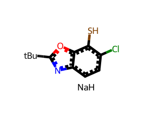 CC(C)(C)c1nc2ccc(Cl)c(S)c2o1.[NaH]